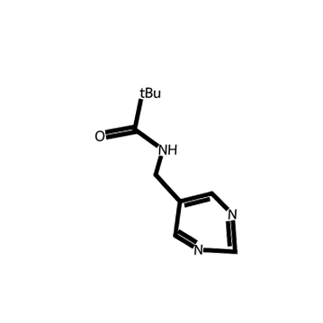 CC(C)(C)C(=O)NCc1cncnc1